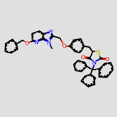 Cn1c(COc2ccc(CC3SC(=O)N(C(c4ccccc4)(c4ccccc4)c4ccccc4)C3=O)cc2)nc2ccc(OCc3ccccc3)nc21